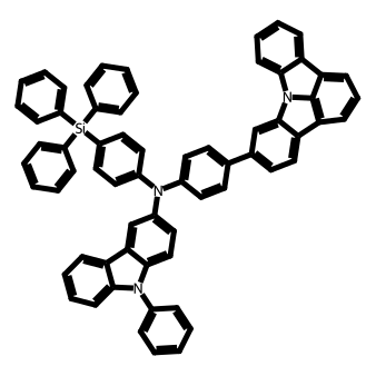 c1ccc(-n2c3ccccc3c3cc(N(c4ccc(-c5ccc6c7cccc8c9ccccc9n(c6c5)c87)cc4)c4ccc([Si](c5ccccc5)(c5ccccc5)c5ccccc5)cc4)ccc32)cc1